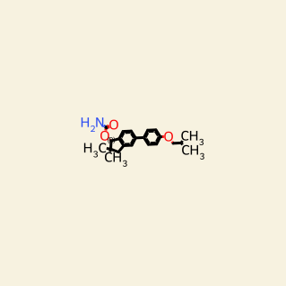 CC(C)COc1ccc(-c2ccc3c(c2)CC(C)(C)[C@H]3OC(N)=O)cc1